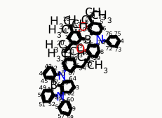 CC(C)(C)c1ccc2c3c1Oc1c(C(C)(C)C)cc(C(C)(C)C)c4c1B3c1c(ccc(C(C)(C)Cc3cccc(N5c6ccccc6B6c7ccccc7N(c7ccccc7)c7cccc5c76)c3)c1O4)N2c1ccccc1